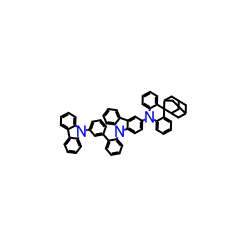 c1cc(-c2ccccc2-n2c3ccccc3c3cc(N4c5ccccc5C5(c6ccccc64)C4CC6CC(C4)CC5C6)ccc32)cc(-n2c3ccccc3c3ccccc32)c1